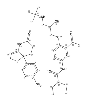 CCC1(c2ccc(N)cc2)CCC(=O)NC1=O.CCN(CC)C(=O)Nc1ccc(OCC(O)CNC(C)(C)C)c(C(C)=O)c1